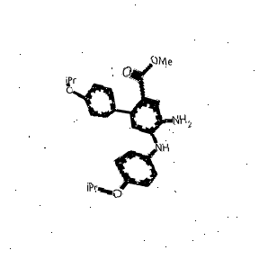 COC(=O)c1cc(N)c(Nc2ccc(OC(C)C)cc2)cc1-c1ccc(OC(C)C)cc1